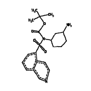 CC(C)(C)OC(=O)N(C1CCCC(N)C1)S(=O)(=O)c1cccc2cnccc12